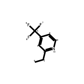 C[CH]c1cc(C(F)(F)F)ccn1